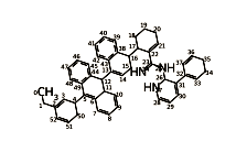 CCC1=CC(C2=C3C=CC=CC3C(C3=CCC(C4CCCC=C4C(=N)NC4NC=CC=C4C4=CCCC=C4)c4ccccc43)c3ccccc32)CC=C1